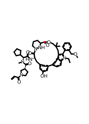 C=CC(=O)N1CC[C@H](C(=O)N(C)[C@H](C(=O)N[C@H]2Cc3cc(O)cc(c3)-c3ccc4c(c3)c(c(-c3ccccc3COC)n4CC)CC(C)(C)COC[C@@]3(C=O)CCCN(N3)C2=O)C2CCCC2)C1